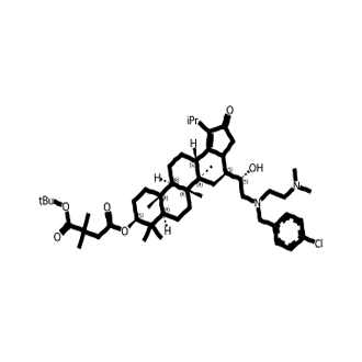 CC(C)C1=C2C(CC1=O)[C@@H]([C@H](O)CN(CCN(C)C)Cc1ccc(Cl)cc1)C[C@]1(C)[C@@H]2CC[C@@H]2[C@@]3(C)CC[C@H](OC(=O)CC(C)(C)C(=O)OC(C)(C)C)C(C)(C)[C@@H]3CC[C@]21C